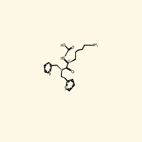 NCCCC[C@H](NC(=O)O)C(=O)N(Cc1cccs1)Cc1cccs1